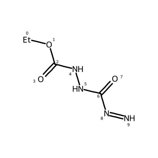 CCOC(=O)NNC(=O)N=N